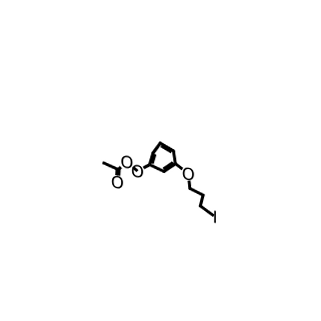 CC(=O)OOc1cccc(OCCCI)c1